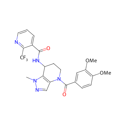 COc1ccc(C(=O)N2CCC(NC(=O)c3cccnc3C(F)(F)F)c3c2cnn3C)cc1OC